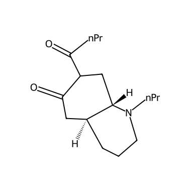 CCCC(=O)C1C[C@H]2[C@@H](CCCN2CCC)CC1=O